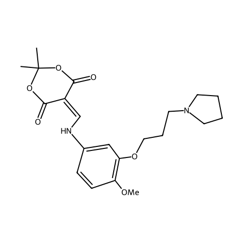 COc1ccc(NC=C2C(=O)OC(C)(C)OC2=O)cc1OCCCN1CCCC1